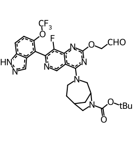 CC(C)(C)OC(=O)N1CC2CCN(c3nc(OCC=O)nc4c(F)c(-c5c(OC(F)(F)F)ccc6[nH]ncc56)ncc34)CC1C2